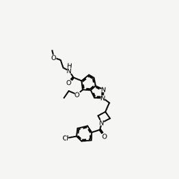 CCOc1c(C(=O)NCCOC)ccc2nn(CC3CN(C(=O)c4ccc(Cl)cc4)C3)cc12